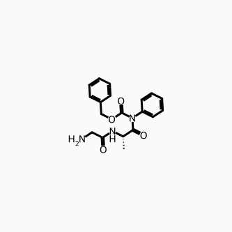 C[C@H](NC(=O)CN)C(=O)N(C(=O)OCc1ccccc1)c1ccccc1